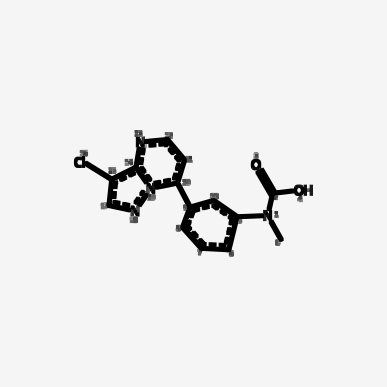 CN(C(=O)O)c1cccc(-c2ccnc3c(Cl)cnn23)c1